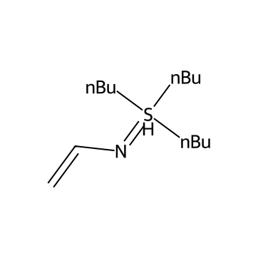 C=CN=[SH](CCCC)(CCCC)CCCC